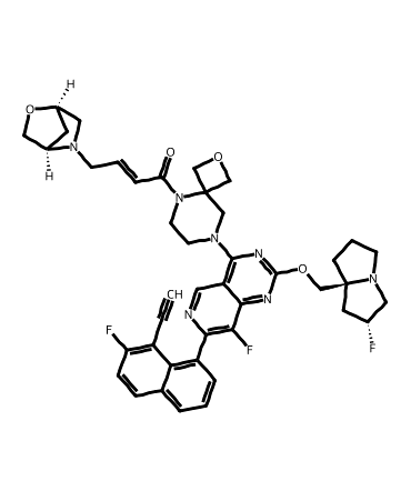 C#Cc1c(F)ccc2cccc(-c3ncc4c(N5CCN(C(=O)/C=C/CN6C[C@H]7C[C@@H]6CO7)C6(COC6)C5)nc(OC[C@@]56CCCN5C[C@H](F)C6)nc4c3F)c12